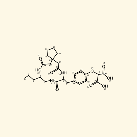 CCCCCNC(=O)C(Cc1ccc(OC(C(=O)O)C(=O)O)cc1)NC(=O)CC1(CC(=O)O)CCCC1